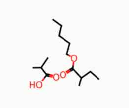 CC(C)C(=O)O.CCCCCOC(=O)C(C)CC